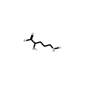 CCNCCCC(N)C(=O)CC